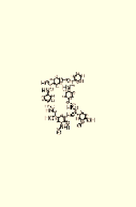 O=CNc1cc(C(O)CNCCc2ccc(NCC(O)c3ccccc3)cc2)ccc1O.O=Cc1cc(C(O)CNCCc2ccc(NCC(O)c3ccccc3)cc2)ccc1O